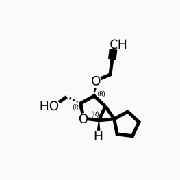 C#CCO[C@@H]1C2[C@@H](O[C@@H]1CO)C21CCCC1